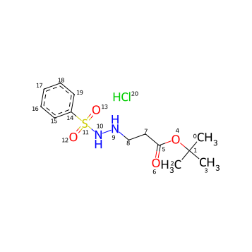 CC(C)(C)OC(=O)CCNNS(=O)(=O)c1ccccc1.Cl